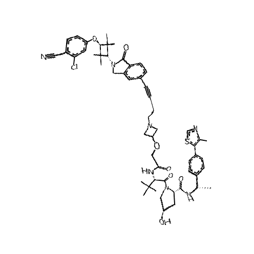 Cc1ncsc1-c1ccc([C@H](C)NC(=O)[C@@H]2C[C@@H](O)CN2C(=O)[C@@H](NC(=O)COC2CN(CCC#Cc3ccc4c(c3)CN([C@H]3C(C)(C)[C@H](Oc5ccc(C#N)c(Cl)c5)C3(C)C)C4=O)C2)C(C)(C)C)cc1